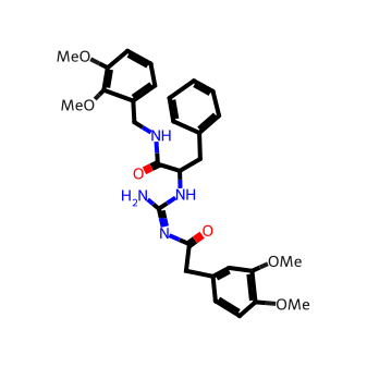 COc1ccc(CC(=O)N=C(N)NC(Cc2ccccc2)C(=O)NCc2cccc(OC)c2OC)cc1OC